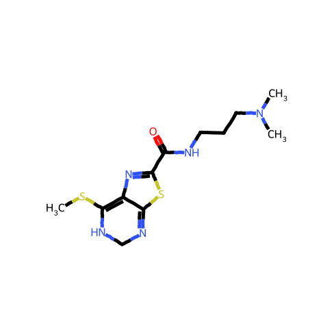 CSC1=c2nc(C(=O)NCCCN(C)C)sc2=NCN1